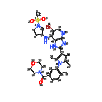 CCS(=O)(=O)N1CCC(Nc2c(Br)cnc3nc(-c4cc(C)n(-c5cc(C(=O)N6CCOCC6)ccc5C)c4C)[nH]c23)C1